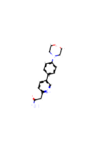 NC(=O)Cc1ccc(-c2ccc(N3CCOCC3)cc2)cn1